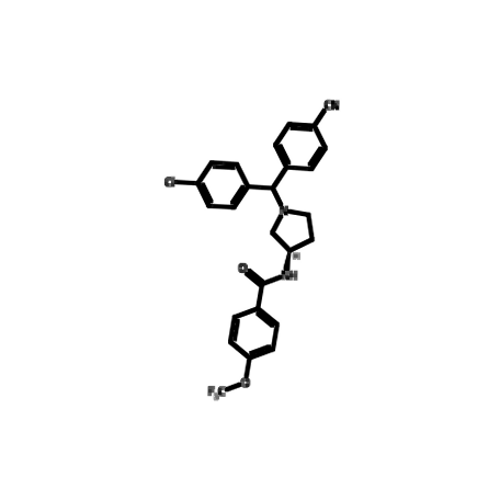 N#Cc1ccc(C(c2ccc(Cl)cc2)N2CC[C@@H](NC(=O)c3ccc(OC(F)(F)F)cc3)C2)cc1